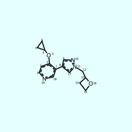 c1cc(OC2CC2)c(-c2cnn(CC3CCO3)c2)cn1